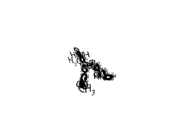 Cc1cc(C[C@@H](OC(=O)N2CCC(N3CCc4ccccc4NC3=O)CC2)C(=O)N2CCC(C3CCN(S(C)(=O)=O)CC3)CC2)cc2[nH]c(=O)[nH]c12